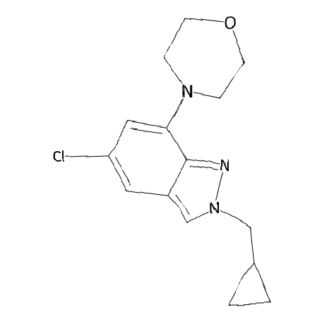 Clc1cc(N2CCOCC2)c2nn(CC3CC3)cc2c1